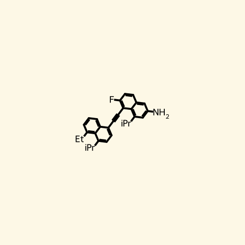 CCc1cccc2c(C#Cc3c(F)ccc4cc(N)cc(C(C)C)c34)ccc(C(C)C)c12